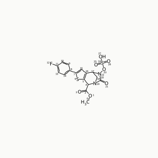 COC(=O)C1c2sc(-c3ccc(F)cc3)cc2C2CN1C(=O)N2OS(=O)(=O)O